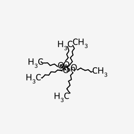 CCCCCCC[CH2][Sn]([CH2]CCCCCCC)([O]CCCCCC)[O][Sn]([CH2]CCCCCCC)([O]CCCCCC)[O]CCCCCC